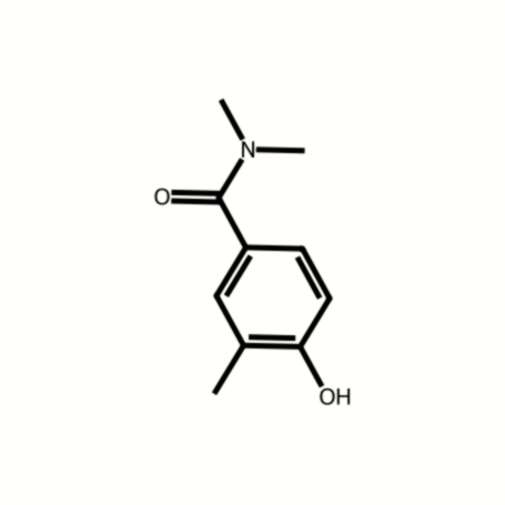 Cc1cc(C(=O)N(C)C)ccc1O